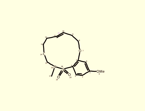 COc1ccc2c(c1)OCC/C=C/CCCCN(C)S2(=O)=O